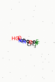 Cc1cc(-c2ccc3c(n2)CCN(CC(=O)O)C3)ccc1OCc1ccc(C(F)(F)F)cc1